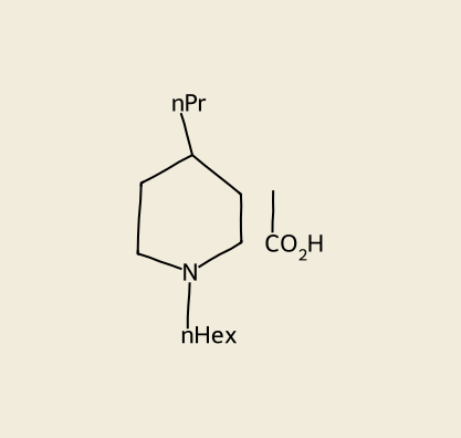 CC(=O)O.CCCCCCN1CCC(CCC)CC1